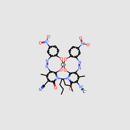 [C-]#[N+]c1c(C)c2c(n(CCCC)c1=O)[O][Co]1([O]c3ccc([N+](=O)[O-])cc3N=Nc3c(C)c(C#N)c(=O)n(CCCC)c3[O]1)[O]c1ccc([N+](=O)[O-])cc1N=N2